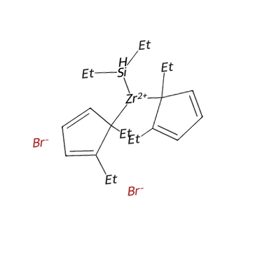 CCC1=CC=C[C]1(CC)[Zr+2]([SiH](CC)CC)[C]1(CC)C=CC=C1CC.[Br-].[Br-]